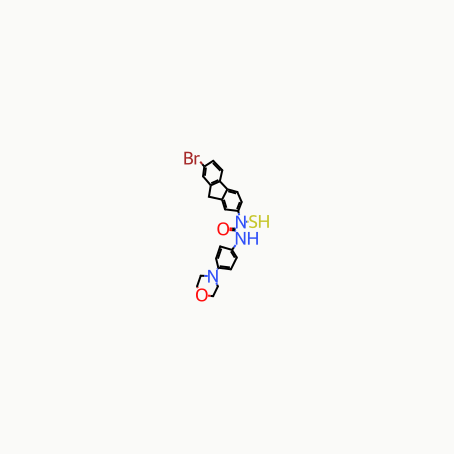 O=C(Nc1ccc(N2CCOCC2)cc1)N(S)c1ccc2c(c1)Cc1cc(Br)ccc1-2